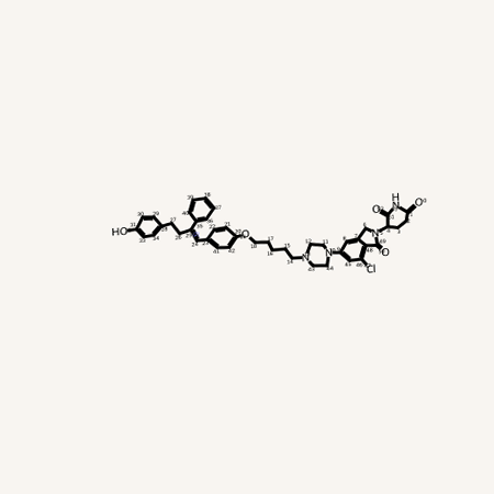 O=C1CCC(N2Cc3cc(N4CCN(CCCCCOc5ccc(/C=C(/CCc6ccc(O)cc6)c6ccccc6)cc5)CC4)cc(Cl)c3C2=O)C(=O)N1